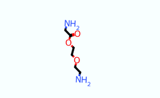 NCCOCCOC(=O)CN